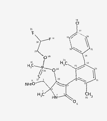 COCC1(C)NC(=O)C(c2c(C)ccc(-c3ccc(Cl)cc3)c2C)=C1OP(C)(=S)OCC(F)F